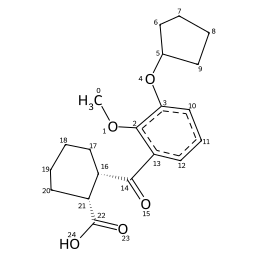 COc1c(OC2CCCC2)cccc1C(=O)[C@H]1CCCC[C@H]1C(=O)O